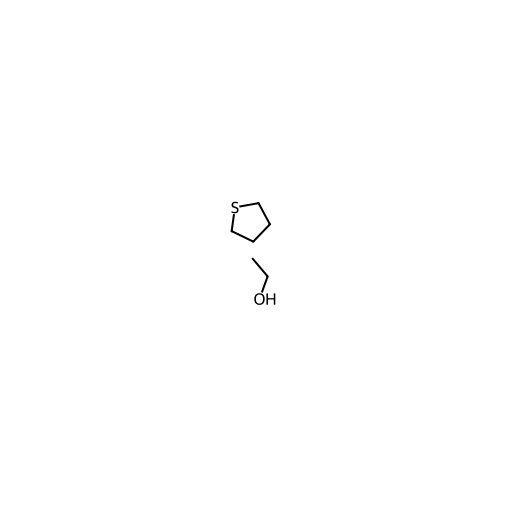 C1CCSC1.CCO